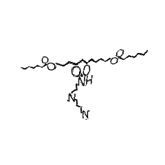 CCCCCCC(=O)OCCCCCC(CCCCCOC(=O)CCCCCC)OC(=O)NCCCN(C)CCCCN(C)C